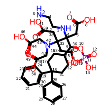 NCCNC(CC(=O)O)(C(OP(=O)(O)O)C1CCC(c2ccccc2)(c2ccccc2)CC1)C(CC(=O)O)(CC(=O)O)N(CC(=O)O)CC(=O)O